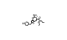 CCCN(OCC)C(=O)C1=Cc2sc(CC3CCNCC3)cc2N=C(N)C1